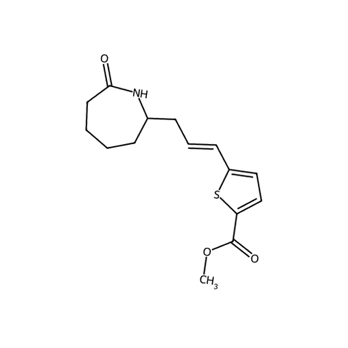 COC(=O)c1ccc(C=CCC2CCCCC(=O)N2)s1